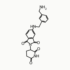 NCc1cccc(CNc2ccc3c(c2)C(=O)N(C2CCC(=O)NC2=O)C3=O)c1